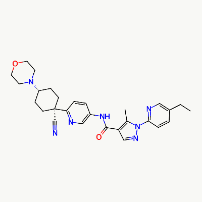 CCc1ccc(-n2ncc(C(=O)Nc3ccc([C@]4(C#N)CC[C@@H](N5CCOCC5)CC4)nc3)c2C)nc1